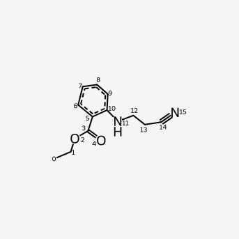 CCOC(=O)c1ccccc1NCCC#N